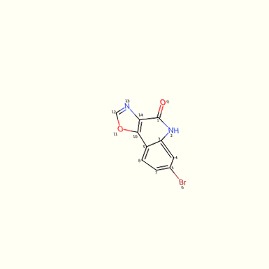 O=c1[nH]c2cc(Br)ccc2c2ocnc12